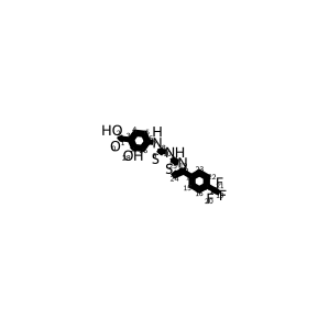 O=C(O)c1ccc(NC(=S)Nc2nc(-c3ccc(C(F)(F)F)cc3)cs2)cc1O